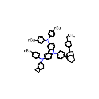 C=Cc1ccc(C2CC3CC4CCC2C(c2ccc(-n5c6ccc(N(c7ccc(CCCC)cc7)c7ccc(CCCC)cc7)cc6c6cc(N(c7ccc(CCCC)cc7)c7ccc8c(c7)CC8)ccc65)cc2)(C4)C3)cc1